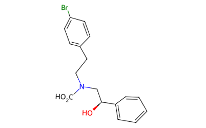 O=C(O)N(CCc1ccc(Br)cc1)C[C@H](O)c1ccccc1